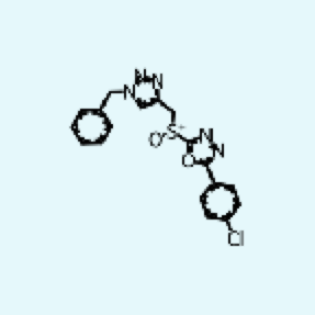 [O-][S@@+](Cc1cn(Cc2ccccc2)nn1)c1nnc(-c2ccc(Cl)cc2)o1